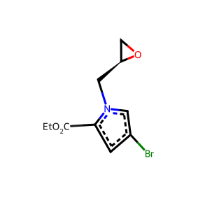 CCOC(=O)c1cc(Br)cn1C[C@H]1CO1